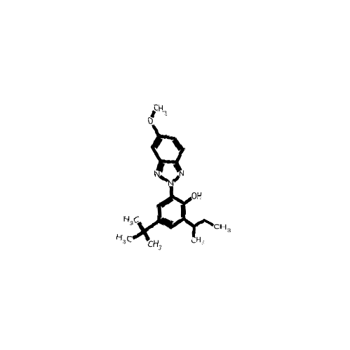 CCC(C)c1cc(C(C)(C)C)cc(-n2nc3ccc(OC)cc3n2)c1O